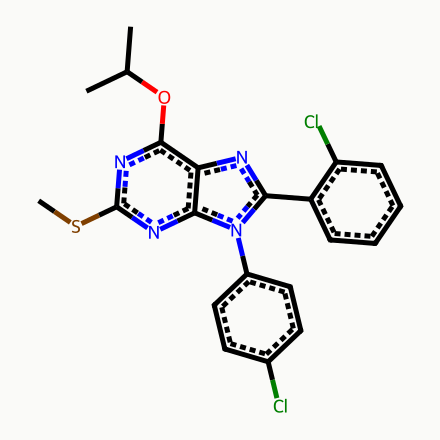 CSc1nc(OC(C)C)c2nc(-c3ccccc3Cl)n(-c3ccc(Cl)cc3)c2n1